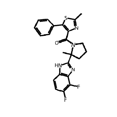 Cc1nc(C(=O)N2CCCC2(C)c2nc3c(F)c(F)ccc3[nH]2)c(-c2ccccc2)s1